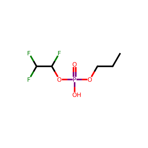 CCCOP(=O)(O)OC(F)C(F)F